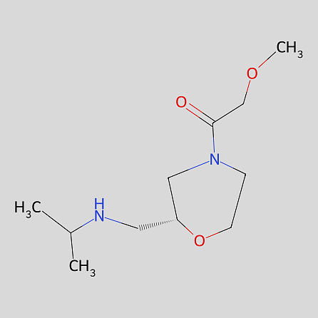 COCC(=O)N1CCO[C@H](CNC(C)C)C1